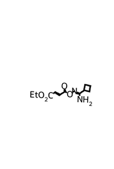 CCOC(=O)/C=C/C(=O)O/N=C(\N)C1CCC1